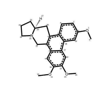 COc1ccc2c3c(c4cc(OC)c(OC)cc4c2c1)CN1CCC[C@H]1C3